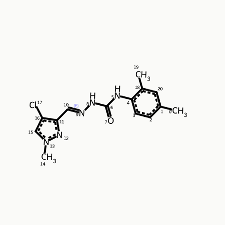 Cc1ccc(NC(=O)N/N=C/c2nn(C)cc2Cl)c(C)c1